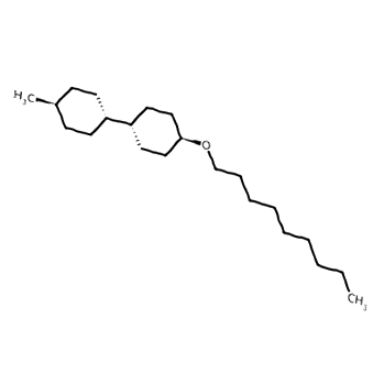 CCCCCCCCCO[C@H]1CC[C@H]([C@H]2CC[C@H](C)CC2)CC1